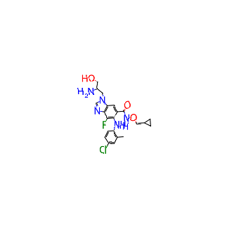 Cc1cc(Cl)ccc1Nc1c(C(=O)NOCC2CC2)cc2c(ncn2CC(N)CO)c1F